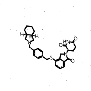 O=C1CCC(N2Cc3c(SCc4ccc(CN5C[C@H]6CCCC[C@H]6C5)cc4)cccc3C2=O)C(=O)N1